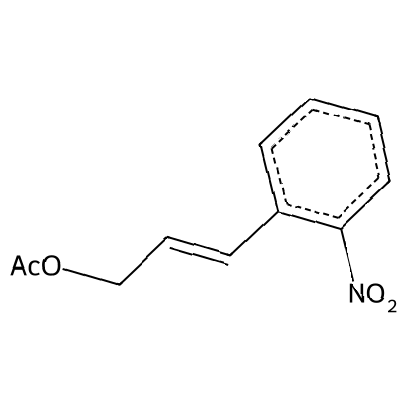 CC(=O)OCC=Cc1ccccc1[N+](=O)[O-]